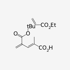 C=C(C=C(C)C(=O)O)C(=O)OC(C)(C)C.C=CC(=O)OCC